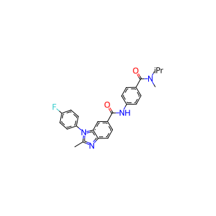 Cc1nc2ccc(C(=O)Nc3ccc(C(=O)N(C)C(C)C)cc3)cc2n1-c1ccc(F)cc1